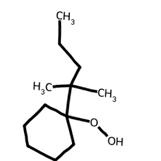 CCCC(C)(C)C1(OO)CCCCC1